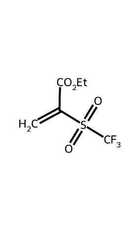 C=C(C(=O)OCC)S(=O)(=O)C(F)(F)F